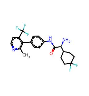 Cc1nccc(C(F)(F)F)c1-c1ccc(NC(=O)[C@@H](N)C2CCC(F)(F)CC2)cc1